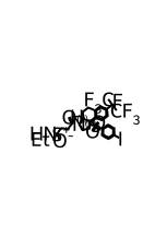 CCN[S+]([O-])CCC(=O)N1CC[C@@]2(S(=O)(=O)c3ccc(I)cc3)c3ccc(C(F)(C(F)(F)F)C(F)(F)F)cc3CC[C@@H]12